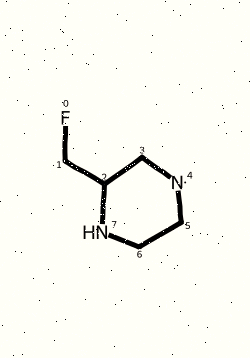 FCC1C[N]CCN1